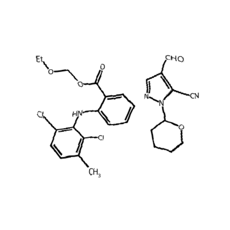 CCOCOC(=O)c1ccccc1Nc1c(Cl)ccc(C)c1Cl.N#Cc1c(C=O)cnn1C1CCCCO1